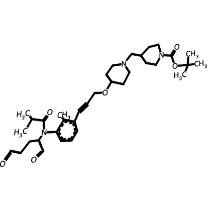 Cc1c(C#CCOC2CCN(CC3CCN(C(=O)OC(C)(C)C)CC3)CC2)cccc1N(C(=O)C(C)C)C(C=O)CCC=O